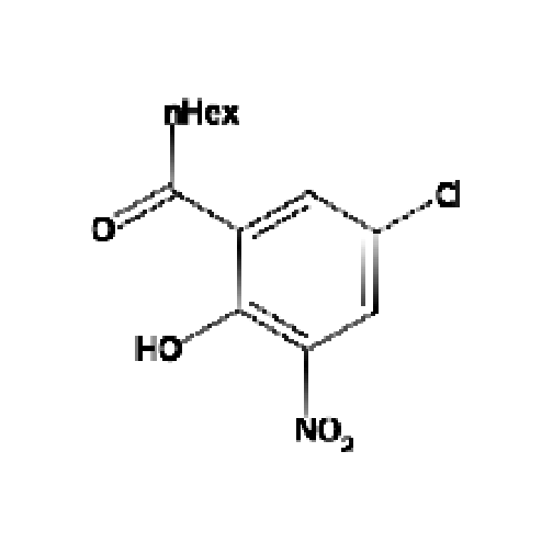 CCCCCCC(=O)c1cc(Cl)cc([N+](=O)[O-])c1O